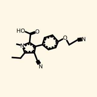 CCc1c(C#N)c(-c2ccc(OCC#N)cc2)c(C(=O)O)n1C